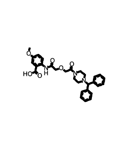 COc1ccc(NC(=O)COCC(=O)N2CCN(C(c3ccccc3)c3ccccc3)CC2)c(C(=O)O)c1